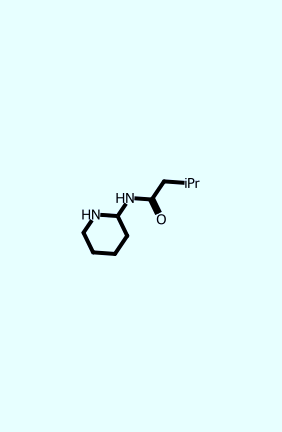 CC(C)CC(=O)NC1CCCCN1